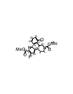 COC(=O)c1ncc(N2CCN(C(=O)OC(C)(C)C)CC2c2ccccc2Cl)cc1F